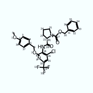 COc1ccc(COc2nc(C(F)(F)F)cc(Cl)c2NC(=O)[C@H]2CCCN2C(=O)OCc2ccccc2)cc1